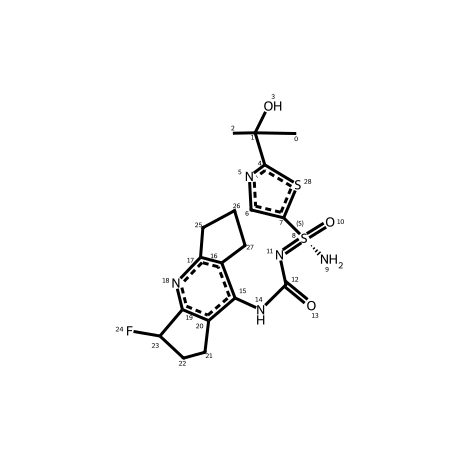 CC(C)(O)c1ncc([S@@](N)(=O)=NC(=O)Nc2c3c(nc4c2CCC4F)CCC3)s1